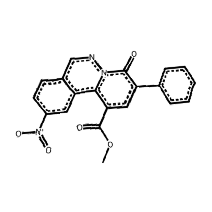 COC(=O)c1cc(-c2ccccc2)c(=O)n2ncc3ccc([N+](=O)[O-])cc3c12